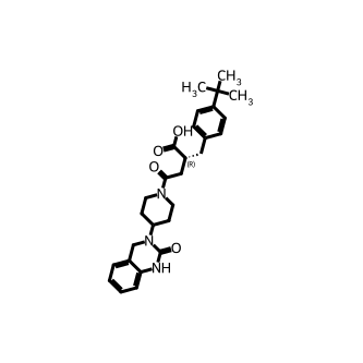 CC(C)(C)c1ccc(C[C@H](CC(=O)N2CCC(N3Cc4ccccc4NC3=O)CC2)C(=O)O)cc1